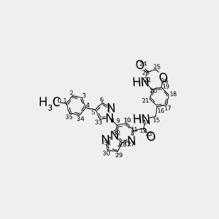 Cc1ccc(-c2cnn(-c3cc(C(=O)NCc4ccc5c(c4)NC(=O)CO5)nc4ccnn34)c2)cc1